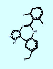 FCc1ccc2c(c1)-c1[nH]ncc1N=C(c1c(F)cccc1F)N2